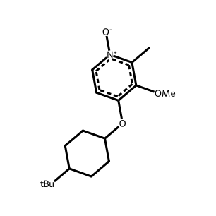 COc1c(OC2CCC(C(C)(C)C)CC2)cc[n+]([O-])c1C